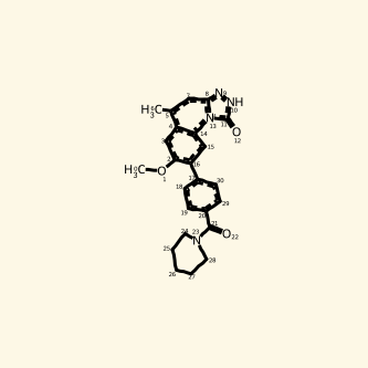 COc1cc2c(C)cc3n[nH]c(=O)n3c2cc1-c1ccc(C(=O)N2CCCCC2)cc1